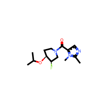 Cc1ncc(C(=O)N2CC[C@H](OC(C)C)[C@H](F)C2)n1C